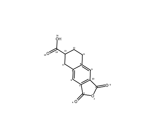 O=C1OC(=O)c2cc3c(cc21)CCC(C(=O)O)C3